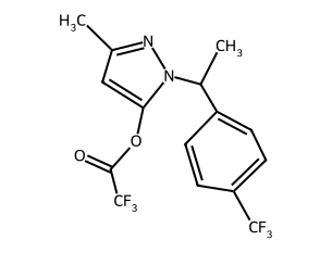 Cc1cc(OC(=O)C(F)(F)F)n(C(C)c2ccc(C(F)(F)F)cc2)n1